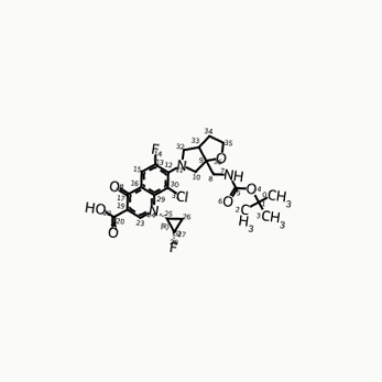 CC(C)(C)OC(=O)NCC12CN(c3c(F)cc4c(=O)c(C(=O)O)cn([C@@H]5C[C@@H]5F)c4c3Cl)CC1CCO2